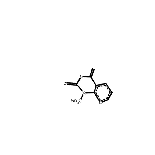 C=C1OC(=O)N(C(=O)O)c2ncccc21